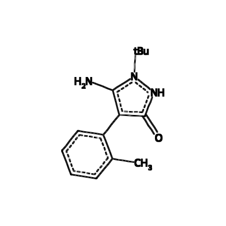 Cc1ccccc1-c1c(N)n(C(C)(C)C)[nH]c1=O